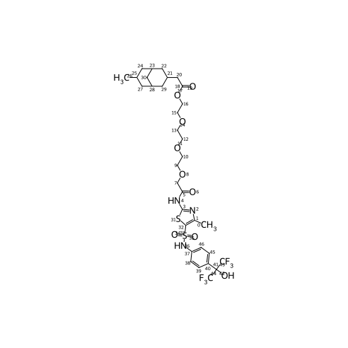 Cc1nc(NC(=O)COCCOCCOCCOC(=O)CC2CC3CC(C)CC(C2)C3)sc1S(=O)(=O)Nc1ccc(C(O)(C(F)(F)F)C(F)(F)F)cc1